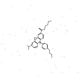 C=C(CCCCC)c1ccc2c(c1)Oc1cc(C(C)C)ccc1N2c1ccc(CCCC)cc1